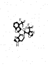 O=C(c1ocnc1C(F)(F)F)N1CCc2[nH]cnc2[C@@H]1c1cc2c(C(F)(F)F)cccc2o1